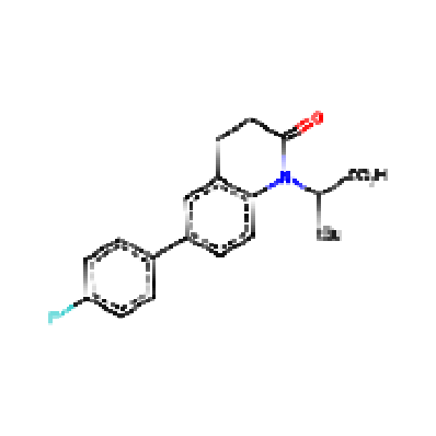 CC(C)(C)C(C(=O)O)N1C(=O)CCc2cc(-c3ccc(F)cc3)ccc21